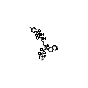 Cc1ccc(S(=O)(=O)NC(=O)NCCCn2nc3c(c2C(=O)OC(=O)C(F)(F)F)CCc2cnccc2-3)cc1